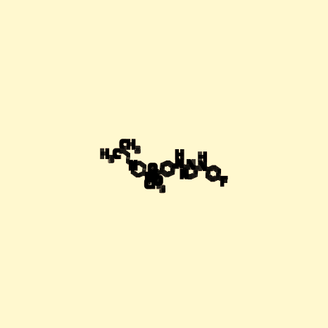 CC(C)CCN1CCC(N(C)S(=O)(=O)c2ccc(Nc3nccc(Nc4ccc(F)cc4)n3)cc2)CC1